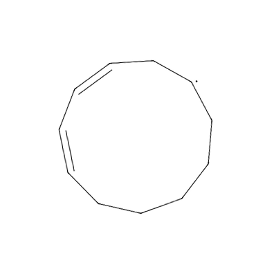 [CH]1C/C=C\C=C/CCCCC1